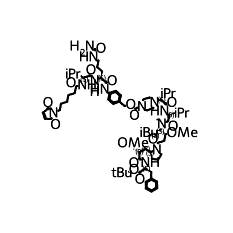 CC[C@H](C)[C@@H](C(CC(=O)N1CCC[C@H]1[C@H](OC)[C@@H](C)C(=O)N[C@@H](Cc1ccccc1)C(=O)OC(C)(C)C)OC)N(C)C(=O)[C@@H](NC(=O)[C@H](C(C)C)N1CCN(C(=O)OCc2ccc(NC(=O)[C@H](CCCNC(N)=O)NC(=O)[C@@H](NC(=O)CCCCCN3C(=O)C=CC3=O)C(C)C)cc2)CC1)C(C)C